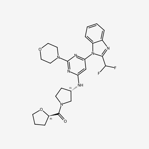 O=C([C@H]1CCCO1)N1CC[C@H](Nc2cc(-n3c(C(F)F)nc4ccccc43)nc(N3CCOCC3)n2)C1